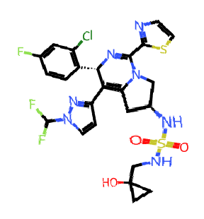 O=S(=O)(NCC1(O)CC1)N[C@H]1CC2=C(c3ccn(C(F)F)n3)[C@H](c3ccc(F)cc3Cl)N=C(c3nccs3)N2C1